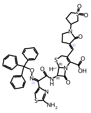 Nc1nc(/C(=N/OC(c2ccccc2)(c2ccccc2)c2ccccc2)C(=O)N[C@@H]2C(=O)N3C(C(=O)O)=C(/C=C4\CCN(C5CCS(=O)(=O)C5)C4=O)CS[C@H]23)cs1